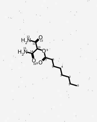 CCCCCCCC(=O)OC(C(N)=O)C(N)=O